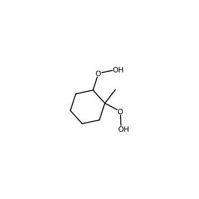 CC1(OO)CCCCC1OO